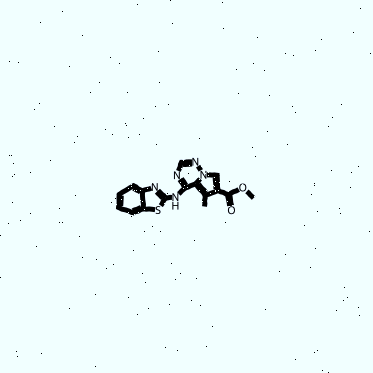 COC(=O)c1cn2ncnc(Nc3nc4ccccc4s3)c2c1C